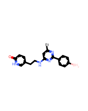 Bc1ccc(-c2nc(CC)cc(NCCc3ccc(=O)[nH]c3)n2)cc1